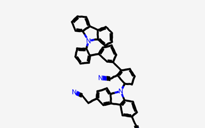 N#CCc1ccc2c(c1)c1cc(C#N)ccc1n2C1CC=CC(c2cccc(-c3ccccc3-n3c4ccccc4c4ccccc43)c2)=C1C#N